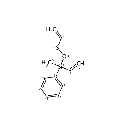 C=CSO[Si](C)(C=C)c1ccccc1